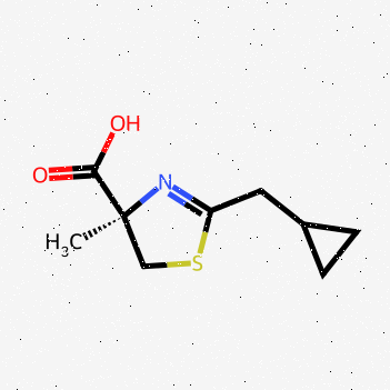 C[C@@]1(C(=O)O)CSC(CC2CC2)=N1